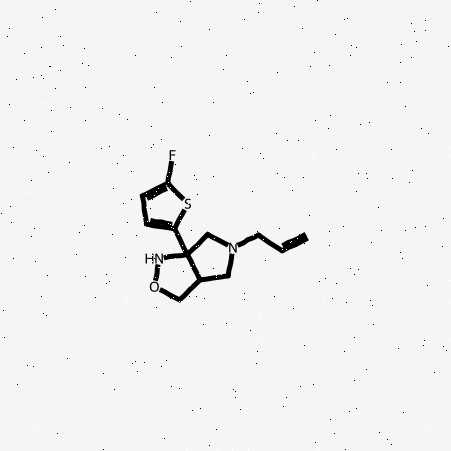 C=CCN1CC2CONC2(c2ccc(F)s2)C1